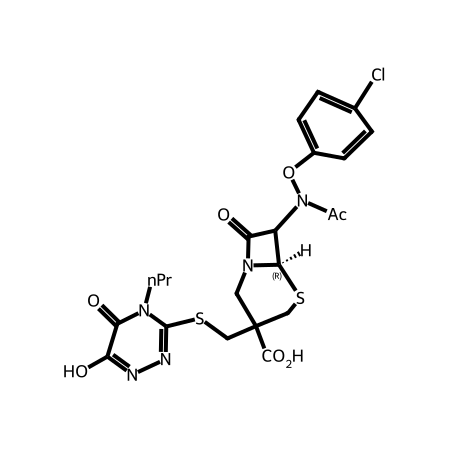 CCCn1c(SCC2(C(=O)O)CS[C@@H]3C(N(Oc4ccc(Cl)cc4)C(C)=O)C(=O)N3C2)nnc(O)c1=O